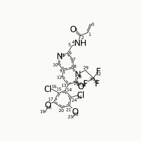 C=CC(=O)NCc1cc2c(cn1)cc(-c1c(Cl)c(OC)cc(OC)c1Cl)c(=O)n2CC(F)(F)F